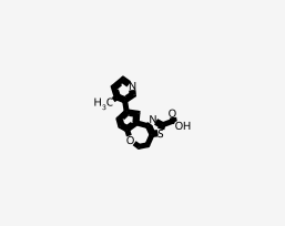 Cc1ccncc1-c1ccc2c(c1)-c1nc(C(=O)O)sc1CCO2